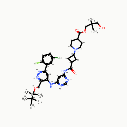 CC(C)(CO)COC(=O)C1CCN(C2CC(C(=O)Nc3cc(Nc4cc(-c5cc(Cl)ccc5F)nnc4CO[Si](C)(C)C(C)(C)C)ncn3)C2)CC1